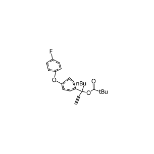 C#CC(CCCC)(OC(=O)C(C)(C)C)c1ccc(Oc2ccc(F)cc2)cc1